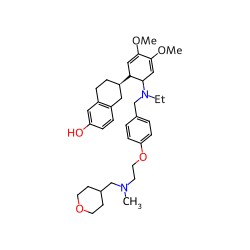 CCN(Cc1ccc(OCCN(C)CC2CCOCC2)cc1)C1C=C(OC)C(OC)=CC1[C@@H]1CCc2cc(O)ccc2C1